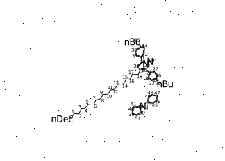 CCCCCCCCCCCCCCCCCCCCCCCCCCCCC1=C(c2ccc(CCCC)cc2)[N+](=[N-])C(c2ccc(CCCC)cc2)=C1.c1cc[c]([Ni][c]2ccccc2)cc1